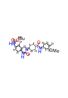 COc1cc(NC(=O)C2CCC(N3Cc4c(ccc(NC(=O)OC(C)(C)C)c4C)NC3=O)CC2)ccc1C